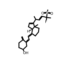 C=C1CCC(O)C/C1=C/C=C1\CCCC2(C)C(C(C)/C=C/C(C)(F)S(C)(=O)=O)=CC[C@@H]12